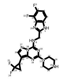 Fc1ccc2[nH]c(CNc3nc(N4CCNCC4)nc4c(C5CC5(F)F)cnn34)nc2c1F